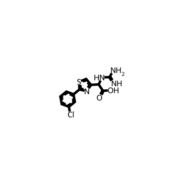 N=C(N)NC(C(=O)O)c1csc(-c2cccc(Cl)c2)n1